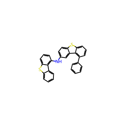 c1ccc(-c2cccc3sc4ccc(Nc5cccc6sc7ccccc7c56)cc4c23)cc1